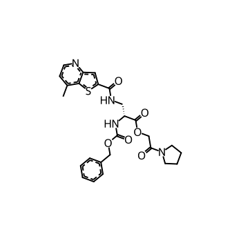 Cc1ccnc2cc(C(=O)NC[C@@H](NC(=O)OCc3ccccc3)C(=O)OCC(=O)N3CCCC3)sc12